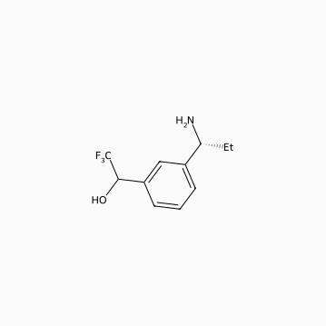 CC[C@@H](N)c1cccc(C(O)C(F)(F)F)c1